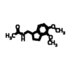 COc1ccc2c(c1OC)CCC2CNC(C)=O